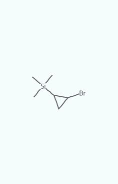 C[Si](C)(C)C1CC1Br